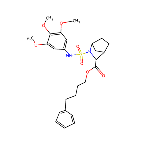 COc1cc(NS(=O)(=O)N2C3CCC(C3)C2C(=O)OCCCCc2ccccc2)cc(OC)c1OC